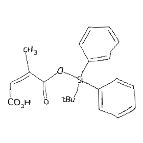 C/C(=C/C(=O)O)C(=O)O[Si](c1ccccc1)(c1ccccc1)C(C)(C)C